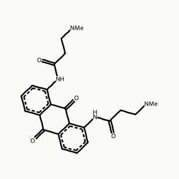 CNCCC(=O)Nc1cccc2c1C(=O)c1c(NC(=O)CCNC)cccc1C2=O